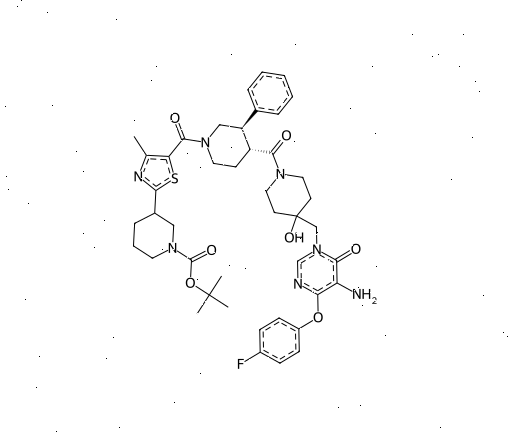 Cc1nc(C2CCCN(C(=O)OC(C)(C)C)C2)sc1C(=O)N1CC[C@@H](C(=O)N2CCC(O)(Cn3cnc(Oc4ccc(F)cc4)c(N)c3=O)CC2)[C@H](c2ccccc2)C1